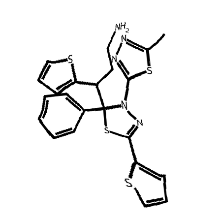 Cc1nnc(N2N=C(c3cccs3)SC2(c2ccccc2)C(CCN)c2cccs2)s1